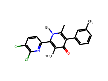 CCn1c(C)c(-c2cccc(C(F)(F)F)c2)c(=O)c(C(=O)O)c1-c1ccc(Cl)c(Cl)n1